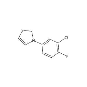 Fc1ccc(N2C=CSC2)cc1Cl